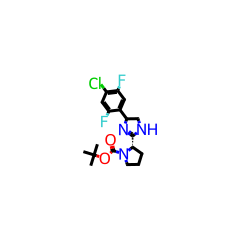 CC(C)(C)OC(=O)N1CCC[C@H]1C1=NC(c2cc(F)c(Cl)cc2F)CN1